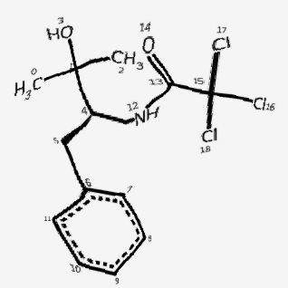 CC(C)(O)[C@H](Cc1ccccc1)NC(=O)C(Cl)(Cl)Cl